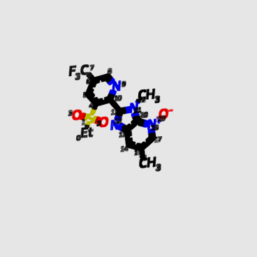 CCS(=O)(=O)c1cc(C(F)(F)F)cnc1-c1nc2cc(C)c[n+]([O-])c2n1C